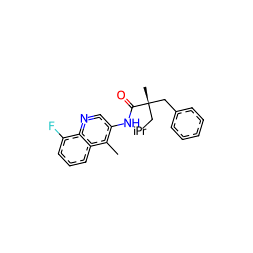 Cc1c(NC(=O)[C@](C)(Cc2ccccc2)CC(C)C)cnc2c(F)cccc12